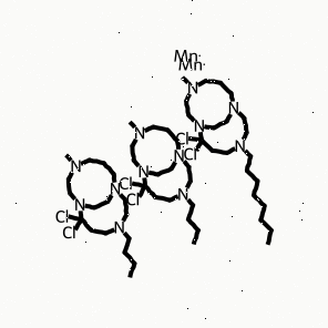 CCCCCCCCN1CCN2CCCN(C)CCN(CC2)C(Cl)(Cl)CC1.CCCCN1CCN2CCCN(C)CCN(CC2)C(Cl)(Cl)CC1.CCCCN1CCN2CCCN(C)CCN(CC2)C(Cl)(Cl)CC1.[Mn].[Mn]